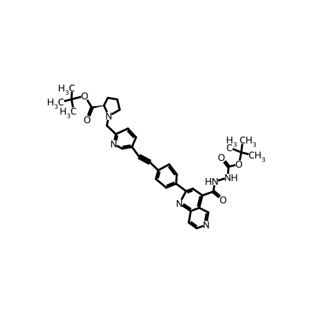 CC(C)(C)OC(=O)NNC(=O)c1cc(-c2ccc(C#Cc3ccc(CN4CCC[C@@H]4C(=O)OC(C)(C)C)nc3)cc2)nc2ccncc12